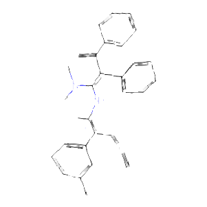 C=C=C/C(=C(/C)N/C(=C(/C(=C)c1ccccc1)c1ccccc1)N(C)C)c1cccc(C)c1